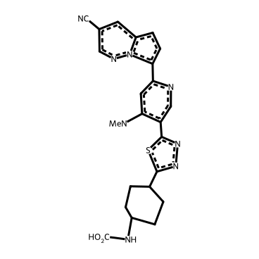 CNc1cc(-c2ccc3cc(C#N)cnn23)ncc1-c1nnc(C2CCC(NC(=O)O)CC2)s1